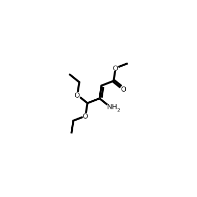 CCOC(OCC)C(N)=CC(=O)OC